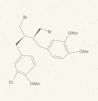 CCc1cc(C[C@@H](CBr)[C@@H](CBr)Cc2ccc(OC)c(OC)c2)ccc1OC